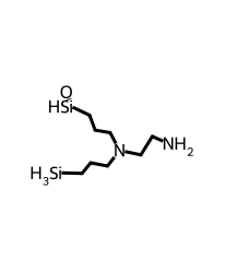 NCCN(CCC[SiH3])CCC[SiH]=O